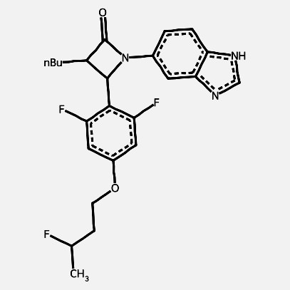 CCCCC1C(=O)N(c2ccc3[nH]cnc3c2)C1c1c(F)cc(OCCC(C)F)cc1F